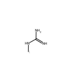 [C]NC(=N)N